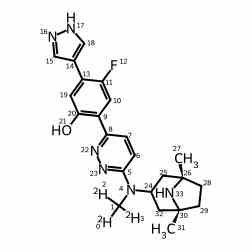 [2H]C([2H])([2H])N(c1ccc(-c2cc(F)c(-c3cn[nH]c3)cc2O)nn1)C1C[C@]2(C)CC[C@](C)(C1)N2